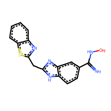 N=C(NO)c1ccc2[nH]c(Cc3nc4ccccc4s3)nc2c1